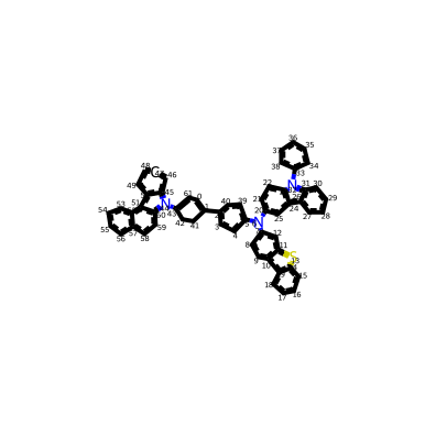 C1=C(c2ccc(N(c3ccc4c(c3)sc3ccccc34)c3ccc4c(c3)c3ccccc3n4-c3ccccc3)cc2)CCC(n2c3ccccc3c3c4ccccc4ccc32)=C1